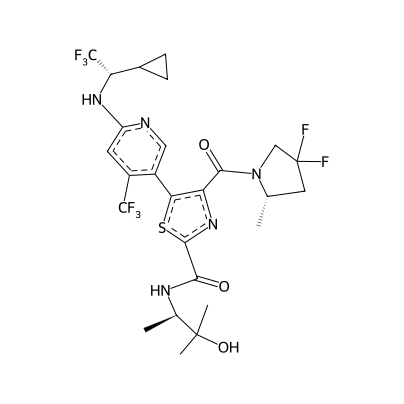 C[C@H]1CC(F)(F)CN1C(=O)c1nc(C(=O)N[C@H](C)C(C)(C)O)sc1-c1cnc(N[C@@H](C2CC2)C(F)(F)F)cc1C(F)(F)F